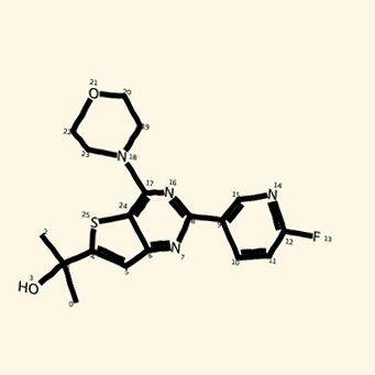 CC(C)(O)c1cc2nc(-c3ccc(F)nc3)nc(N3CCOCC3)c2s1